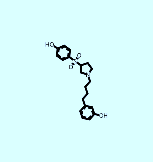 O=S(=O)(c1ccc(O)cc1)C1CCN(CCCCc2cccc(O)c2)C1